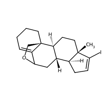 C[C@]12CC[C@H]3[C@@H](CC4OC[C@@]35CCCC=C45)[C@@H]1CC=C2I